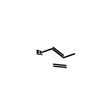 C=C.CC=CCC